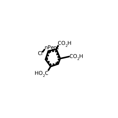 CCCCCCl.O=C(O)c1ccc(C(=O)O)c(C(=O)O)c1